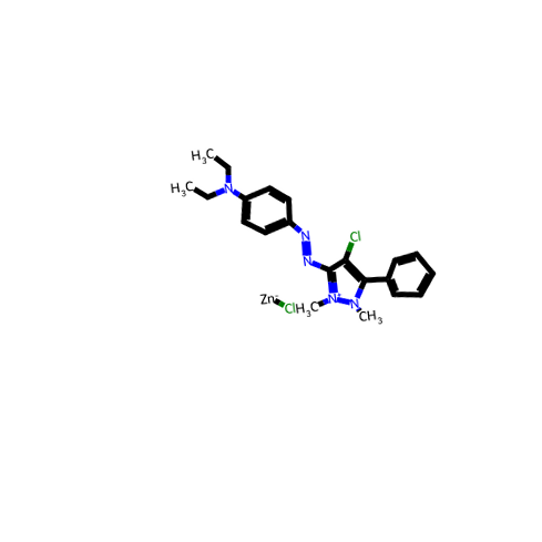 CCN(CC)c1ccc(N=Nc2c(Cl)c(-c3ccccc3)n(C)[n+]2C)cc1.[Cl][Zn-]